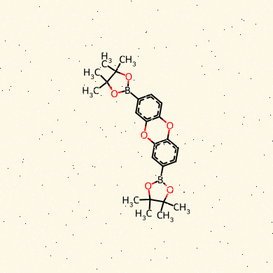 CC1(C)OB(c2ccc3c(c2)Oc2cc(B4OC(C)(C)C(C)(C)O4)ccc2O3)OC1(C)C